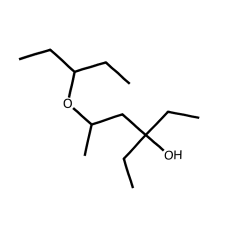 CCC(CC)OC(C)CC(O)(CC)CC